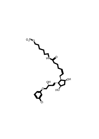 O=C(CCC/C=C\C[C@@H]1[C@@H](/C=C/[C@@H](O)COc2cccc(Cl)c2)[C@H](O)C[C@@H]1O)NCCCCCCO[N+](=O)[O-]